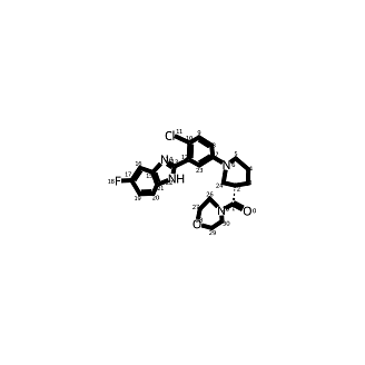 O=C([C@H]1CCCN(c2ccc(Cl)c(-c3nc4cc(F)ccc4[nH]3)c2)C1)N1CCOCC1